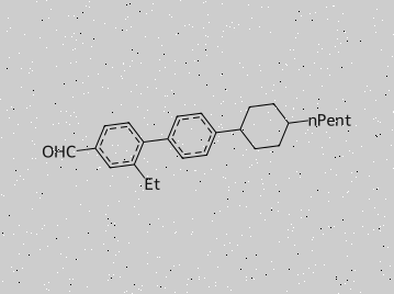 CCCCCC1CCC(c2ccc(-c3ccc(C=O)cc3CC)cc2)CC1